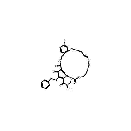 CN1CN2C(=O)CCCCCC/C=C/CCOc3cc(F)ccc3CNC(=O)c3cn2c(c(OCc2ccccc2)c3=O)C1=O